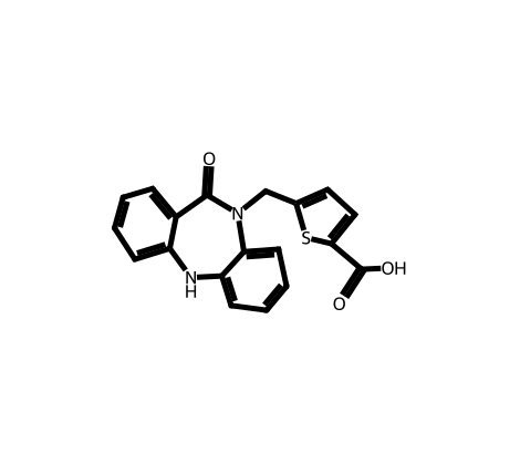 O=C(O)c1ccc(CN2C(=O)c3ccccc3Nc3ccccc32)s1